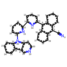 N#Cc1c2ccccc2c(-c2cccc(-c3cccc(-n4c5ccccc5c5cnccc54)n3)n2)c2ccccc12